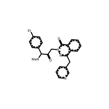 CCc1ccc(C(NC)C(=O)Cn2nc(Cc3cccnc3)c3ccccc3c2=O)cc1